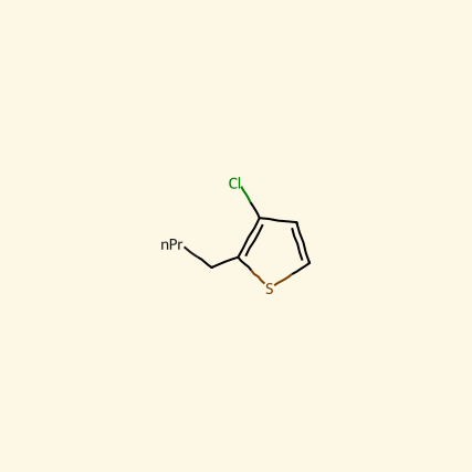 C[CH]CCc1sccc1Cl